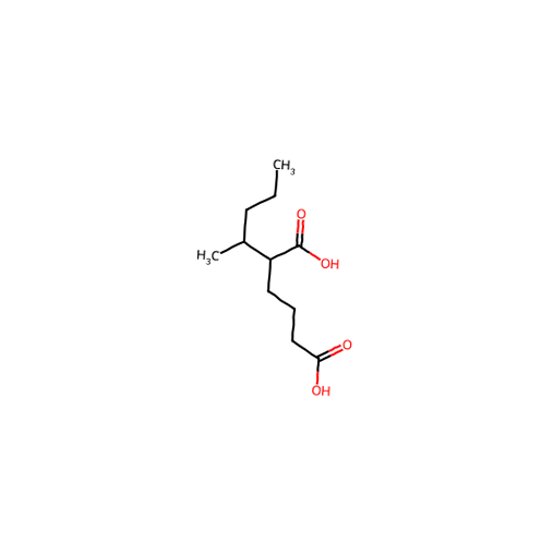 CCCC(C)C(CCCC(=O)O)C(=O)O